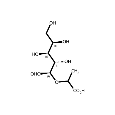 CC(O[C@@H](C=O)[C@@H](O)[C@@H](O)[C@H](O)CO)C(=O)O